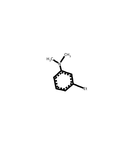 [CH2]Cc1cccc(N(C)C)c1